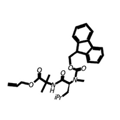 C=CCOC(=O)C(C)(C)NC(=O)[C@H](CC(C)C)N(C)C(=O)OCC1c2ccccc2-c2ccccc21